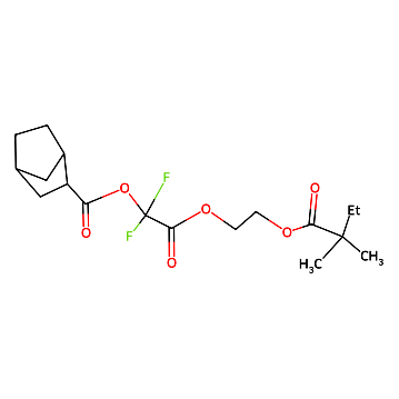 CCC(C)(C)C(=O)OCCOC(=O)C(F)(F)OC(=O)C1CC2CCC1C2